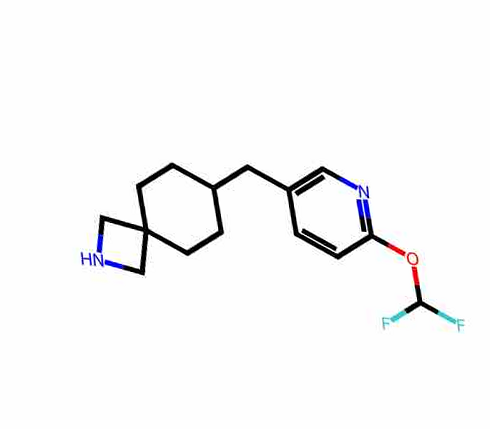 FC(F)Oc1ccc(CC2CCC3(CC2)CNC3)cn1